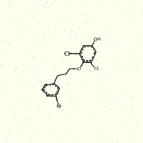 Oc1cc(Cl)c(OCCCc2cccc(Br)c2)c(Cl)c1